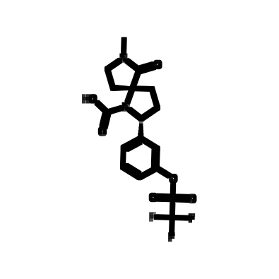 CN1CC[C@]2(CC[C@H](c3cccc(OS(=O)(=O)C(F)(F)F)c3)N2C(=O)O)C1=O